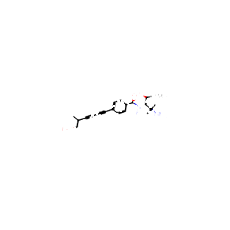 COC(=O)[C@@H](NC(=O)c1ccc(C#CC#CC(C)CO)cc1)C(C)(C)N